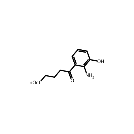 CCCCCCCCCCCC(=O)c1cccc(O)c1N